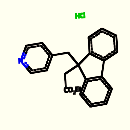 CCOC(=O)CC1(Cc2ccncc2)c2ccccc2-c2ccccc21.Cl